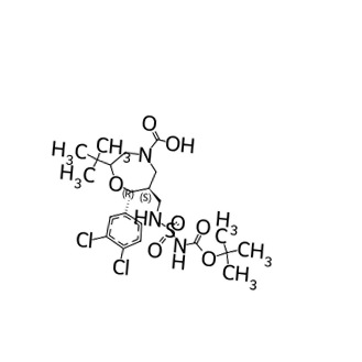 CC(C)(C)OC(=O)NS(=O)(=O)NC[C@@H]1CN(C(=O)O)CC(C(C)(C)C)O[C@H]1c1ccc(Cl)c(Cl)c1